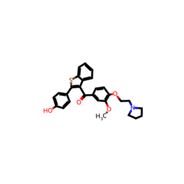 COc1cc(C(=O)c2c(-c3ccc(O)cc3)sc3ccccc23)ccc1OCCN1CCCC1